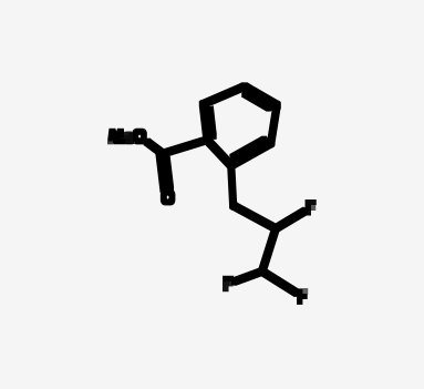 COC(=O)c1ccccc1CC(F)C(F)F